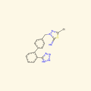 CCc1nn(Cc2ccc(-c3ccccc3-c3nnn[nH]3)cc2)c(=N)s1